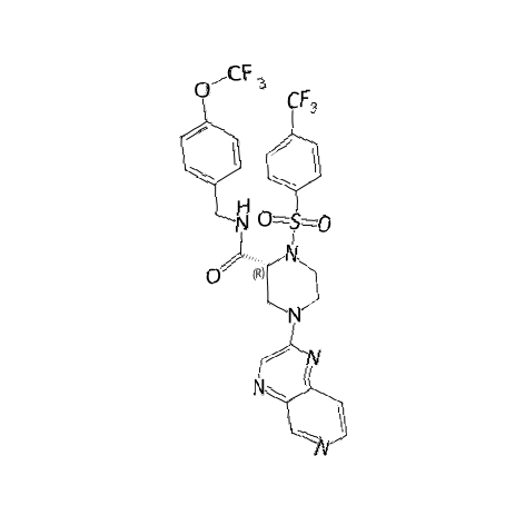 O=C(NCc1ccc(OC(F)(F)F)cc1)[C@H]1CN(c2cnc3cnccc3n2)CCN1S(=O)(=O)c1ccc(C(F)(F)F)cc1